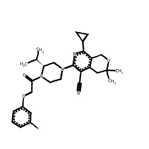 CC(C)[C@@H]1CN(c2nc(C3CC3)c3c(c2C#N)CC(C)(C)OC3)CCN1C(=O)COc1cccc(F)c1